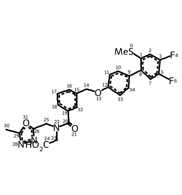 CSc1cc(F)c(F)cc1-c1ccc(OCc2cccc(C(=O)N(CC(=O)O)Cc3nnc(C)o3)c2)cc1